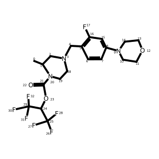 CC1CN(Cc2ccc(N3CCOCC3)cc2F)CCN1C(=O)OC(C(F)(F)F)C(F)(F)F